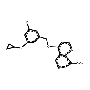 COc1nccc2c(OCc3cc(F)cc(SC4CC4)c3)ccnc12